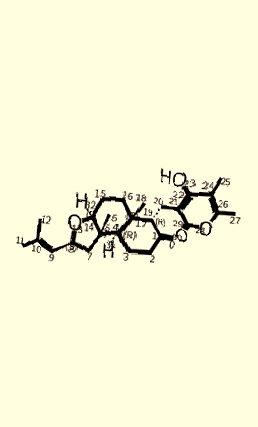 C=C1CC[C@H]2[C@]3(C)C[C@@H](C=C(C)C)O[C@H]3CC[C@]2(C)[C@@H]1Cc1c(O)c(C)c(C)oc1=O